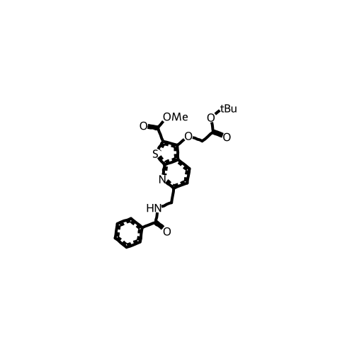 COC(=O)c1sc2nc(CNC(=O)c3ccccc3)ccc2c1OCC(=O)OC(C)(C)C